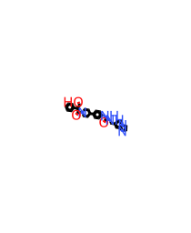 O=C(NCc1ccn2ccnc2c1)Nc1ccc(C2CCN(C(=O)C(CO)c3ccccc3)CC2)cc1